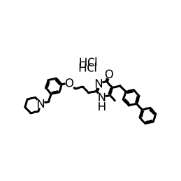 Cc1[nH]c(CCCOc2cccc(CN3CCCCC3)c2)nc(=O)c1Cc1ccc(-c2ccccc2)cc1.Cl.Cl